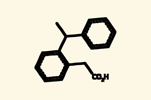 CC(c1ccccc1)c1ccccc1CC(=O)O